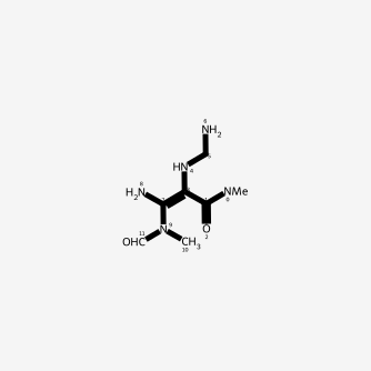 CNC(=O)/C(NCN)=C(/N)N(C)C=O